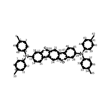 Cc1ccc(N(c2ccc(C)cc2)c2ccc3c(c2)sc2cc4c(cc23)sc2cc(N(c3ccc(C)cc3)c3ccc(C)cc3)ccc24)cc1